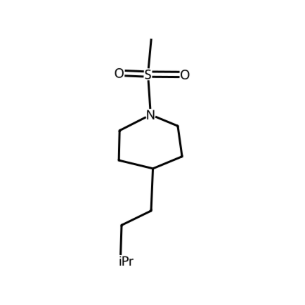 CC(C)CCC1CCN(S(C)(=O)=O)CC1